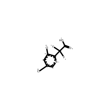 O=C(O)C(F)(F)c1ncc(Cl)cc1Cl